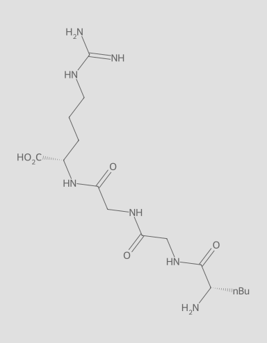 CCCC[C@H](N)C(=O)NCC(=O)NCC(=O)N[C@@H](CCCNC(=N)N)C(=O)O